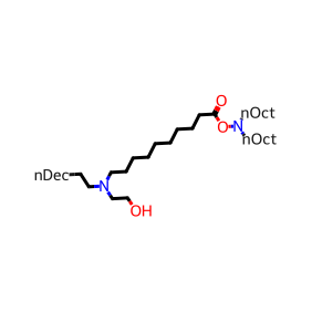 CCCCCCCCCCCCN(CCO)CCCCCCCCCC(=O)ON(CCCCCCCC)CCCCCCCC